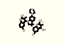 Cc1c(C(F)(F)F)nc2ccc(Cl)cc2c1N1CC(C)(C)c2ccc(N3CCOCC3)cc21.Cc1c(C(F)(F)F)nc2ccc(Cl)cc2c1O